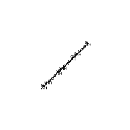 CCNC(=O)COCC(=O)NCCOCCOCCOCCNC(=O)COCC(=O)NCCOCCOCCOCCNC(=O)COCC(=O)NCCOCCOCCOCCNC(C)=O